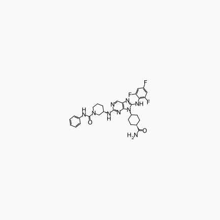 NC(=O)[C@H]1CC[C@@H](n2c(Nc3c(F)cc(F)cc3F)nc3cnc(N[C@@H]4CCCN(C(=O)Nc5ccccc5)C4)nc32)CC1